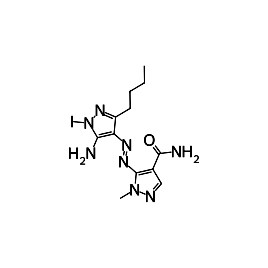 CCCCc1nn(I)c(N)c1N=Nc1c(C(N)=O)cnn1C